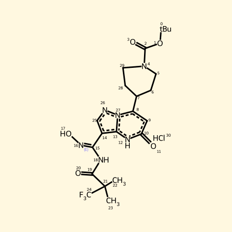 CC(C)(C)OC(=O)N1CCC(c2cc(=O)[nH]c3c(/C(=N\O)NC(=O)C(C)(C)C(F)(F)F)cnn23)CC1.Cl